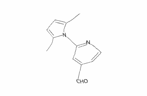 Cc1ccc(C)n1-c1cc(C=O)ccn1